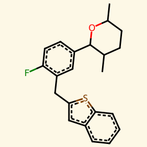 CC1CCC(C)C(c2ccc(F)c(Cc3cc4ccccc4s3)c2)O1